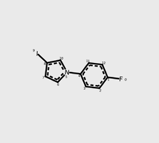 Fc1ccc(-n2ccc(I)c2)cc1